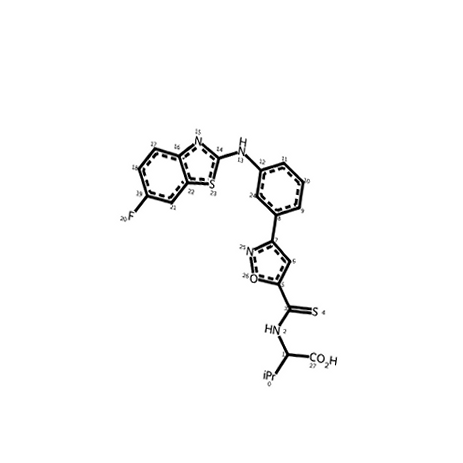 CC(C)C(NC(=S)c1cc(-c2cccc(Nc3nc4ccc(F)cc4s3)c2)no1)C(=O)O